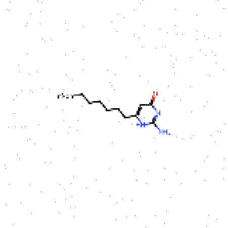 CCCCCCCCCCCCCCCc1cc(=O)nc(N)[nH]1